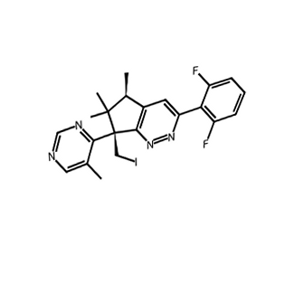 Cc1cncnc1[C@@]1(CI)c2nnc(-c3c(F)cccc3F)cc2[C@H](C)C1(C)C